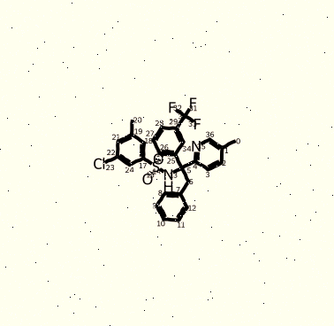 Cc1ccc(C(Cc2ccccc2)(NS(=O)(=O)c2cc(C)cc(Cl)c2)c2cccc(C(F)(F)F)c2)nc1